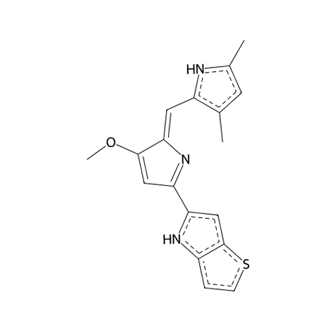 COC1=CC(c2cc3sccc3[nH]2)=N/C1=C\c1[nH]c(C)cc1C